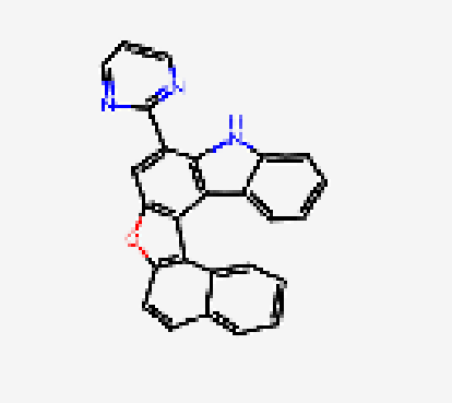 c1cnc(-c2cc3oc4ccc5ccccc5c4c3c3c2[nH]c2ccccc23)nc1